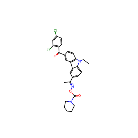 CCn1c2ccc(C(=O)c3ccc(Cl)cc3Cl)cc2c2cc(/C(C)=N/OC(=O)N3CCCCC3)ccc21